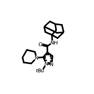 CC(C)(C)n1ncc(C(=O)NC23CC4CC(CC(C4)C2)C3)c1N1CCCCC1